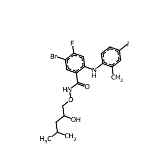 Cc1cc(I)ccc1Nc1cc(F)c(Br)cc1C(=O)NOCC(O)CC(C)C